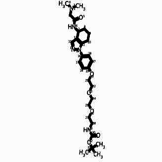 CN(C)CC(=O)NC1CCCc2c1cnn2-c1ccc(OCCOCCOCCNC(=O)OC(C)(C)C)cc1